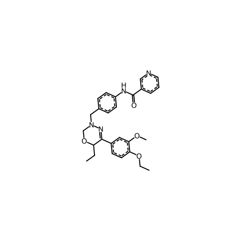 CCOc1ccc(C2=NN(Cc3ccc(NC(=O)c4cccnc4)cc3)COC2CC)cc1OC